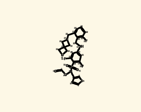 O=CON(c1cscn1)S(=O)(=O)c1c(F)cc(NCc2c(F)cccc2CN2CC3(COC3)C2)cc1F